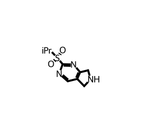 CC(C)S(=O)(=O)c1ncc2c(n1)CNC2